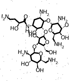 NCC[C@H](O)C(=O)N[C@@H]1C[C@H](N)[C@@H](O[C@H]2O[C@H](CN)[C@H](O)[C@@H](O)[C@H]2N)[C@H](O[C@@H]2O[C@H](CO)[C@@H](O[C@H]3O[C@@H](CN)[C@@H](O)[C@H](O)[C@H]3N)[C@H]2O)[C@H]1O